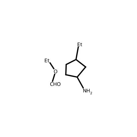 CCC1CCC(N)C1.CCOC=O